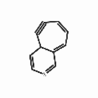 C1#CC2C=CN=CC2=CC=C1